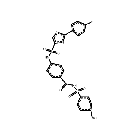 CC(C)(C)c1ccc(S(=O)(=O)NC(=O)c2ccc(NS(=O)(=O)c3csc(-c4ccc(F)cc4)n3)cc2)cc1